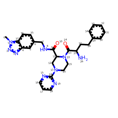 Cn1nnc2cc(CNC(=O)C3CN(c4ncccn4)CCN3C(=O)C(N)CCc3ccccc3)ccc21